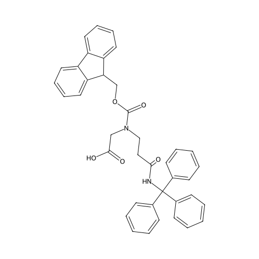 O=C(O)CN(CCC(=O)NC(c1ccccc1)(c1ccccc1)c1ccccc1)C(=O)OCC1c2ccccc2-c2ccccc21